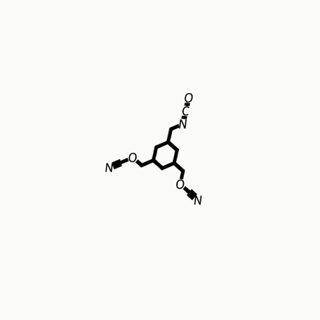 N#COCC1CC(CN=C=O)CC(COC#N)C1